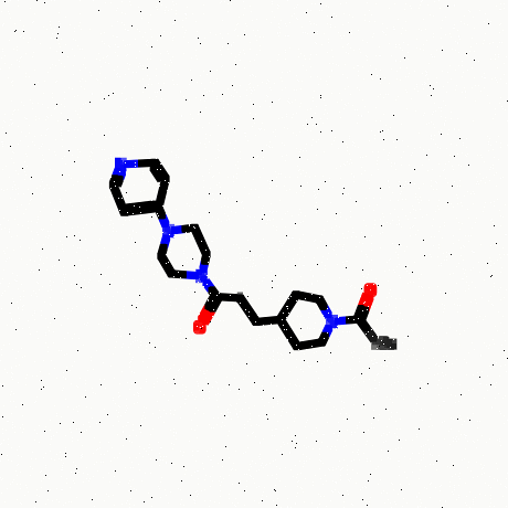 CCCCC(=O)N1CCC(C[CH]C(=O)N2CCN(c3ccncc3)CC2)CC1